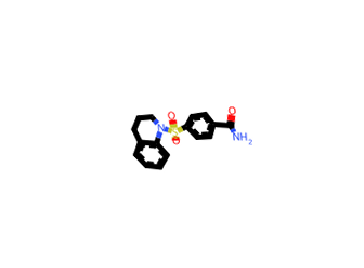 NC(=O)c1ccc(S(=O)(=O)N2CCCc3ccccc32)cc1